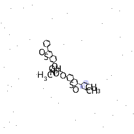 C#C/C=C(\C=C/C)c1cc2ccc(OCC(COc3ccc4cc(-c5ccccc5)c(=O)sc4c3)ON(C)O)cc2sc1=O